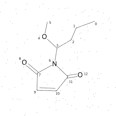 CCCC(OC)N1C(=O)C=CC1=O